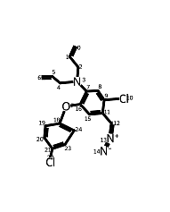 C=CCN(CC=C)c1cc(Cl)c([C]=[N+]=[N-])cc1Oc1ccc(Cl)cc1